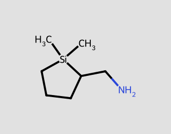 C[Si]1(C)CCCC1CN